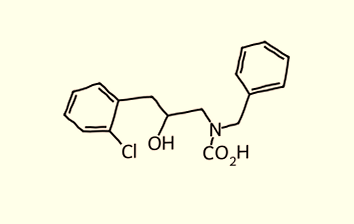 O=C(O)N(Cc1ccccc1)CC(O)Cc1ccccc1Cl